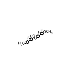 C=Cc1ccc(-c2ccc(C(=O)Oc3ccc(-c4ccc(OCC)c(F)c4F)cc3)c(F)c2F)cc1